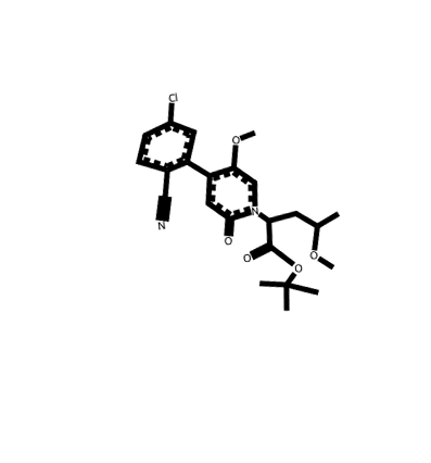 COc1cn(C(CC(C)OC)C(=O)OC(C)(C)C)c(=O)cc1-c1cc(Cl)ccc1C#N